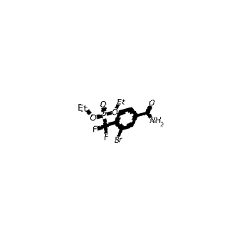 CCOP(=O)(OCC)C(F)(F)c1ccc(C(N)=O)cc1Br